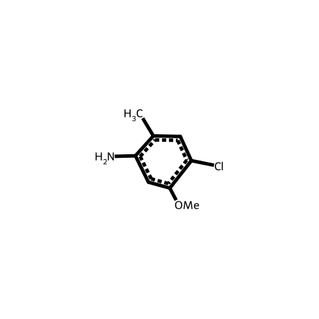 COc1cc(N)c(C)cc1Cl